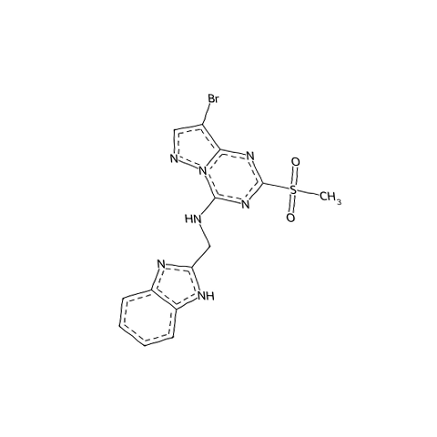 CS(=O)(=O)c1nc(NCc2nc3ccccc3[nH]2)n2ncc(Br)c2n1